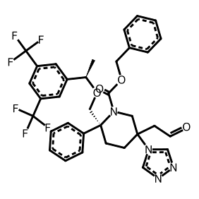 C[C@@H](OC[C@@]1(c2ccccc2)CCC(CC=O)(n2cnnc2)CN1C(=O)OCc1ccccc1)c1cc(C(F)(F)F)cc(C(F)(F)F)c1